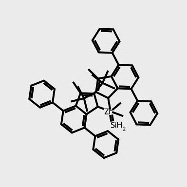 CC1=C(C(C)(C)C)[CH]([Zr]([CH3])([CH3])(=[SiH2])[CH]2C(C(C)(C)C)=C(C)c3c(-c4ccccc4)ccc(-c4ccccc4)c32)c2c(-c3ccccc3)ccc(-c3ccccc3)c21